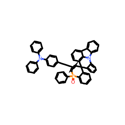 O=P1(c2ccccc2)c2ccccc2C2(c3ccccc3-n3c4ccccc4c4cccc2c43)c2ccc(-c3ccc(N(c4ccccc4)c4ccccc4)cc3)cc21